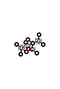 c1ccc(-c2cc(-c3ccccc3)nc(-c3cc(-c4nc(-c5ccccc5)nc(-c5ccccc5)n4)cc(-c4ccccc4)c3N3c4ccccc4N(c4nc(-c5ccccc5)nc(-c5ccccc5)n4)c4ccccc43)n2)cc1